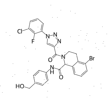 O=C(Nc1ccc(CO)cc1)C1c2cccc(Br)c2CCN1C(=O)c1cn(-c2cccc(Cl)c2F)nn1